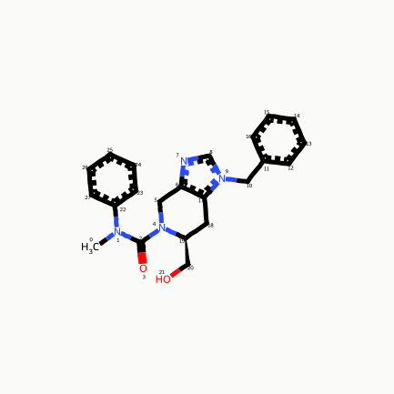 CN(C(=O)N1Cc2ncn(Cc3ccccc3)c2C[C@H]1CO)c1ccccc1